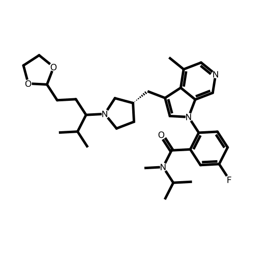 Cc1cncc2c1c(C[C@@H]1CCN(C(CCC3OCCO3)C(C)C)C1)cn2-c1ccc(F)cc1C(=O)N(C)C(C)C